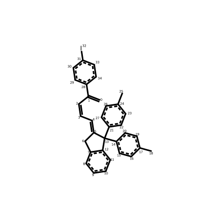 C=C(/C=C\C=C1/Cc2ccccc2C1(c1ccc(C)cc1)c1ccc(C)cc1)c1ccc(I)cc1